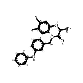 Cc1ccc(OC(C(=O)OCc2cccc(Oc3ccccc3)c2)C(C)C)cc1C